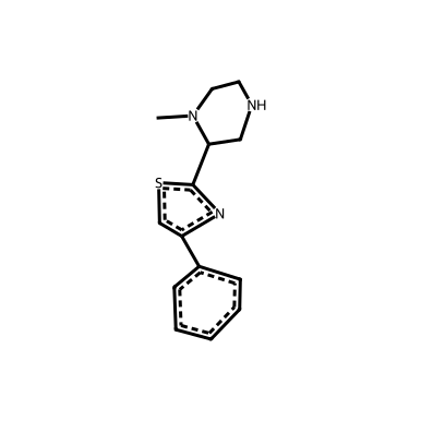 CN1CCNCC1c1nc(-c2ccccc2)cs1